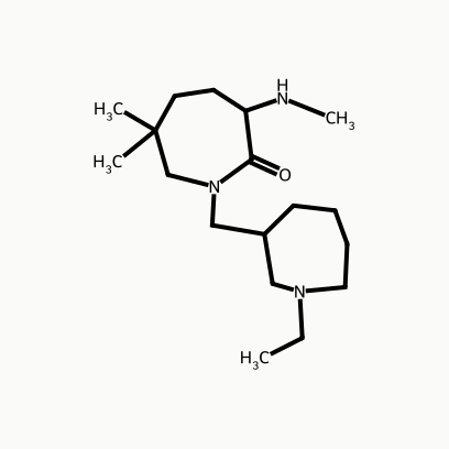 CCN1CCCCC(CN2CC(C)(C)CCC(NC)C2=O)C1